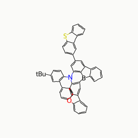 CC(C)(C)c1ccc(N2c3cc4oc5ccccc5c4cc3B3c4ccccc4-c4cc(-c5ccc6sc7ccccc7c6c5)cc2c43)c(-c2ccccc2)c1